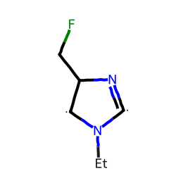 CCN1[C]=NC(CF)[CH]1